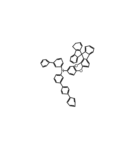 C1=CC2=C(CC1)c1ccccc1C21c2ccccc2-c2ccc3c(c21)Oc1cc(N(c2cccc(-c4ccccc4)c2)c2cccc(-c4ccc(-c5ccccc5)cc4)c2)ccc1O3